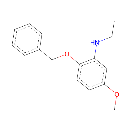 CCNc1cc(OC)ccc1OCc1ccccc1